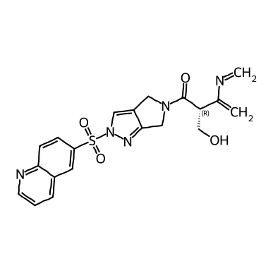 C=NC(=C)[C@H](CO)C(=O)N1Cc2cn(S(=O)(=O)c3ccc4ncccc4c3)nc2C1